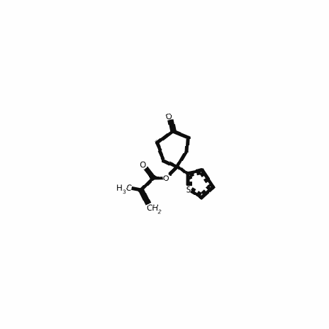 C=C(C)C(=O)OC1(c2cccs2)CCC(=O)CC1